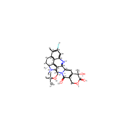 CC[C@@]1(O)C(=O)OCc2c1cc1n(c2=O)Cc2c-1nc1cc(F)c(C)c3c1c2[C@@](C)(N(C)CCO[Si](C)(C)C(C)(C)C)CC3